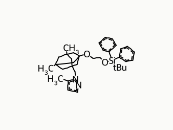 Cc1ccnn1CC12CC3(C)CC(C)(C1)CC(OCCO[Si](c1ccccc1)(c1ccccc1)C(C)(C)C)(C3)C2